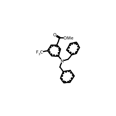 COC(=O)c1cc(N(Cc2ccccc2)Cc2ccccc2)cc(C(F)(F)F)c1